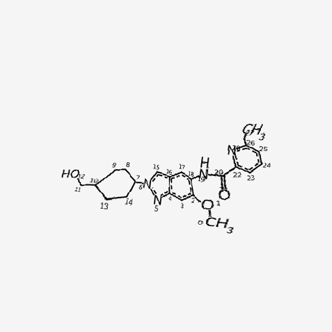 COc1cc2nn(C3CCC(CO)CC3)cc2cc1NC(=O)c1cccc(C)n1